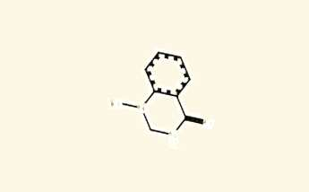 CC(C)N1CNC(=O)c2ccccc21